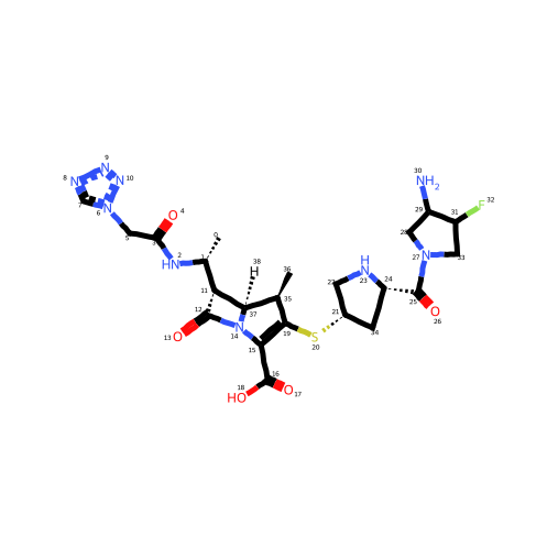 C[C@@H](NC(=O)Cn1cnnn1)[C@H]1C(=O)N2C(C(=O)O)=C(S[C@@H]3CN[C@H](C(=O)N4CC(N)C(F)C4)C3)[C@H](C)[C@H]12